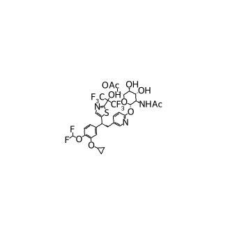 CC(=O)N[C@H]1[C@H](Oc2ccc(C[C@@H](c3ccc(OC(F)F)c(OC4CC4)c3)c3cnc(C(O)(C(F)(F)F)C(F)(F)F)s3)cn2)O[C@H](COC(C)=O)[C@@H](O)[C@@H]1O